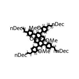 CCCCCCCCCCCCc1ccc(-c2cc(-c3ccc(CCCCCCCCCCCC)cc3OC)c3ccc4c(-c5ccc(CCCCCCCCCCCC)cc5OC)cc(-c5ccc(CCCCCCCCCCCC)cc5OC)c5ccc2c3c54)c(OC)c1